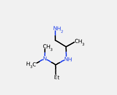 CCC(NC(C)CN)N(C)C